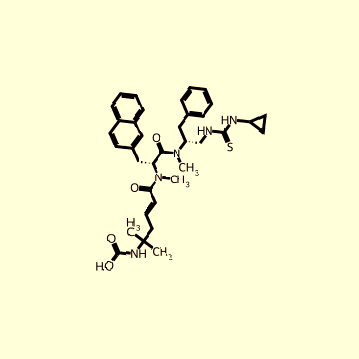 CN(C(=O)[C@@H](Cc1ccc2ccccc2c1)N(C)C(=O)C=CCC(C)(C)NC(=O)O)[C@@H](CNC(=S)NC1CC1)Cc1ccccc1